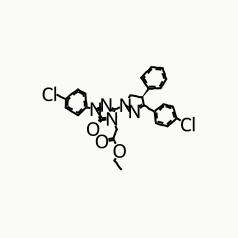 CCOC(=O)Cn1c(N2C[C@@H](c3ccccc3)C(c3ccc(Cl)cc3)=N2)nn(-c2ccc(Cl)cc2)c1=O